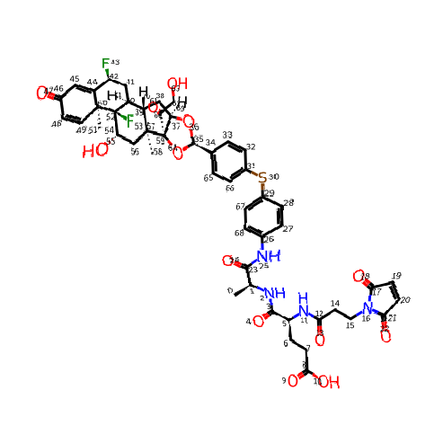 C[C@H](NC(=O)[C@H](CCC(=O)O)NC(=O)CCN1C(=O)C=CC1=O)C(=O)Nc1ccc(Sc2ccc([C@@H]3O[C@@H]4C[C@H]5[C@@H]6C[C@H](F)C7=CC(=O)C=C[C@]7(C)[C@@]6(F)[C@@H](O)C[C@]5(C)[C@]4(C(=O)CO)O3)cc2)cc1